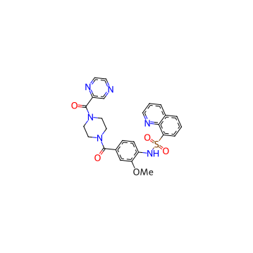 COc1cc(C(=O)N2CCN(C(=O)c3cnccn3)CC2)ccc1NS(=O)(=O)c1cccc2cccnc12